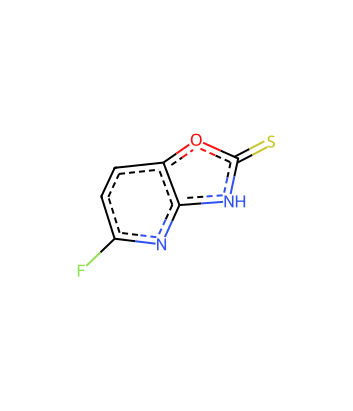 Fc1ccc2oc(=S)[nH]c2n1